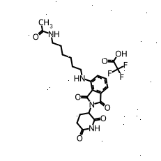 CC(=O)NCCCCCCNc1cccc2c1C(=O)N(C1CCC(=O)NC1=O)C2=O.O=C(O)C(F)(F)F